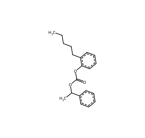 CCCCCc1ccccc1OC(=O)OC(C)c1ccccc1